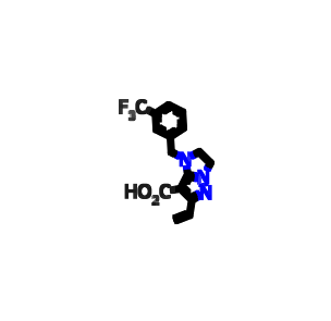 C=Cc1nn2c(c1C(=O)O)N(Cc1cccc(C(F)(F)F)c1)CC2